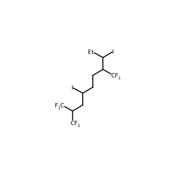 CCC(I)C(CCC(I)CC(C(F)(F)F)C(F)(F)F)C(F)(F)F